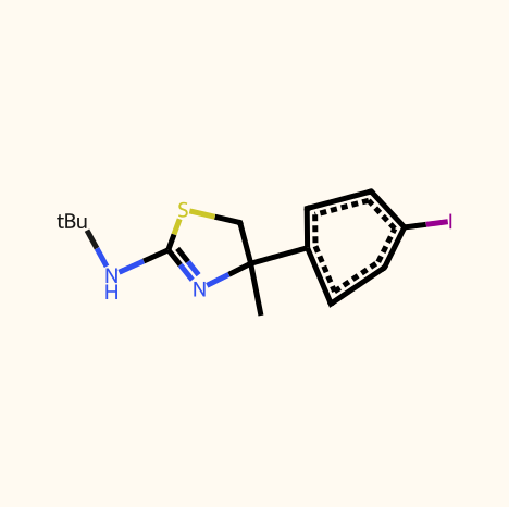 CC(C)(C)NC1=NC(C)(c2ccc(I)cc2)CS1